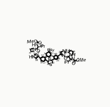 COC(=O)N[C@H](C(=O)N1CCC[C@H]1c1nc(-c2ccc(C3CSCC(c4ccc(-c5c[nH]c([C@@H]6CCCN6C(=O)[C@@H](NC(=O)OC)C(C)C)n5)cc4)N3c3ccc(C(C)(C)C)cc3)cc2)c[nH]1)C(C)C